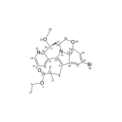 CCOC(=O)C(C)(C)Cc1c(-c2cccnc2[C@H](C)OC)n2c3c(cc(Br)cc13)OCC2